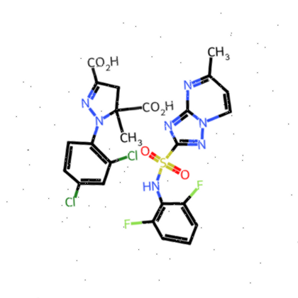 CC1(C(=O)O)CC(C(=O)O)=NN1c1ccc(Cl)cc1Cl.Cc1ccn2nc(S(=O)(=O)Nc3c(F)cccc3F)nc2n1